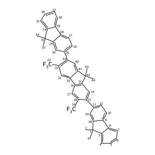 CC1(C)c2ccccc2-c2ccc(-c3cc4c(cc3C(F)(F)F)-c3cc(C(F)(F)F)c(-c5ccc6c(c5)C(C)(C)c5ccccc5-6)cc3C4(C)C)cc21